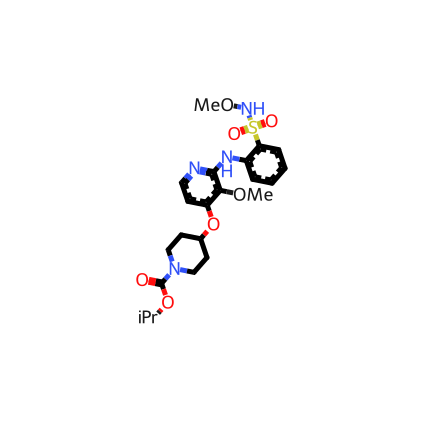 CONS(=O)(=O)c1ccccc1Nc1nccc(OC2CCN(C(=O)OC(C)C)CC2)c1OC